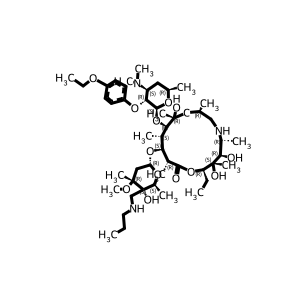 CCCNC[C@]1(O)[C@H](C)O[C@@H](O[C@H]2[C@H](C)[C@@H](O[C@@H]3O[C@H](C)C[C@H](N(C)C)[C@H]3Oc3ccc(OCC)cc3)[C@](C)(O)C[C@@H](C)CN[C@H](C)[C@@H](O)[C@](C)(O)[C@@H](CC)OC(=O)[C@@H]2C)C[C@@]1(C)OC